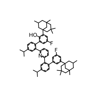 CC1CC2(C)CC(C)(C)CC(c3cc(F)cc(-c4ccc(C(C)C)cc4-c4cccc(-c5cc(C(C)C)ccc5-c5cc(F)cc(C67CC(C)CC(C)(CC(C)(C)C6)C7)c5O)n4)c3)(C1)C2